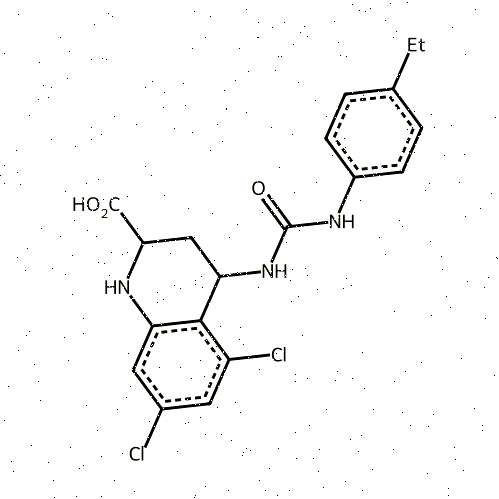 CCc1ccc(NC(=O)NC2CC(C(=O)O)Nc3cc(Cl)cc(Cl)c32)cc1